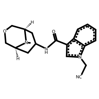 CN1[C@@H]2COC[C@H]1CC(NC(=O)c1cn(CC#N)c3ccccc13)C2